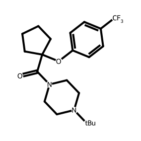 CC(C)(C)N1CCN(C(=O)C2(Oc3ccc(C(F)(F)F)cc3)CCCC2)CC1